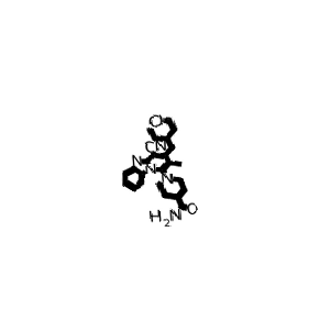 Cc1c(CC2CCOCC2)c(C#N)c2nc3ccccc3n2c1N1CCC(C(N)=O)CC1